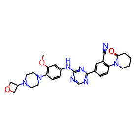 COc1cc(Nc2ncnc(-c3ccc(N4CCCCC4=O)c(C#N)c3)n2)ccc1N1CCN(C2COC2)CC1